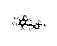 COc1c(C)c(C)c(OC)c(C=C[C@@]2(C)COC(C)(C)O2)c1C